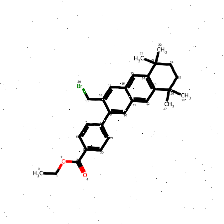 CCOC(=O)c1ccc(-c2cc3cc4c(cc3cc2CBr)C(C)(C)CCC4(C)C)cc1